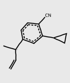 C=C[C](C)c1ccc(C#N)c(C2CC2)c1